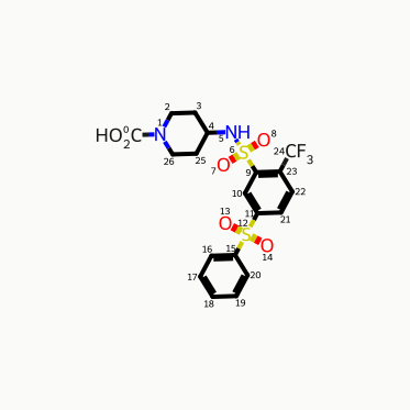 O=C(O)N1CCC(NS(=O)(=O)c2cc(S(=O)(=O)c3ccccc3)ccc2C(F)(F)F)CC1